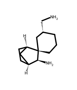 NC[C@@H]1CCC[C@]2(C1)[C@@H]1CC[C@@H](C1)[C@@H]2N